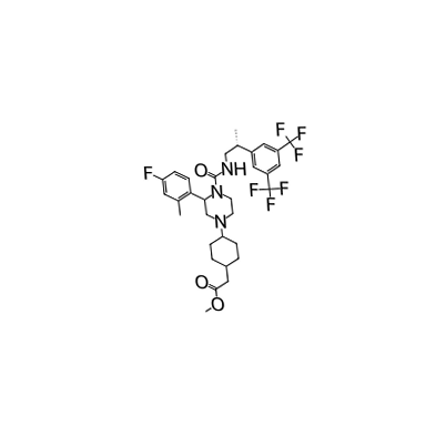 COC(=O)CC1CCC(N2CCN(C(=O)NC[C@H](C)c3cc(C(F)(F)F)cc(C(F)(F)F)c3)C(c3ccc(F)cc3C)C2)CC1